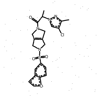 Cc1nn(C(C)C(=O)N2CC3=C(C2)CN(S(=O)(=O)c2ccc4occc4c2)C3)cc1Cl